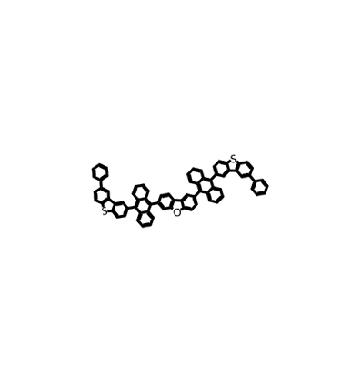 c1ccc(-c2ccc3sc4ccc(-c5c6ccccc6c(-c6ccc7c(c6)oc6ccc(-c8c9ccccc9c(-c9ccc%10sc%11ccc(-c%12ccccc%12)cc%11c%10c9)c9ccccc89)cc67)c6ccccc56)cc4c3c2)cc1